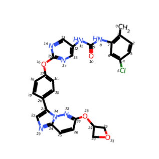 Cc1ccc(Cl)cc1NC(=O)Nc1cnc(Oc2ccc(-c3cnc4ccc(OC5COC5)nn34)cc2)nc1